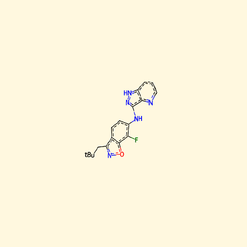 CC(C)(C)Cc1noc2c(F)c(Nc3n[nH]c4cccnc34)ccc12